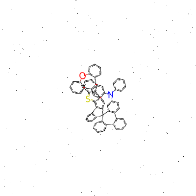 c1ccc(N(c2ccc3c(c2)-c2ccccc2Oc2ccccc2-3)c2ccc3c(c2)C2(c4ccccc4-c4ccccc4-3)c3ccccc3-c3c2ccc2c3sc3ccccc32)cc1